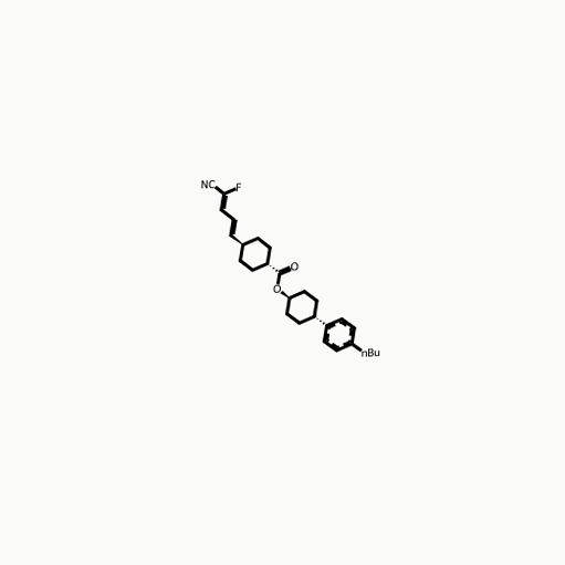 CCCCc1ccc([C@H]2CC[C@H](OC(=O)[C@H]3CC[C@H](C=CC=C(F)C#N)CC3)CC2)cc1